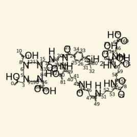 C=C(O)CN1CCN(CC(=C)O)CCN(CC(=O)NC(CNC(=O)c2ccc([SiH2]C(C)(C)C)cc2)C(=O)NC(CCCCNC(=O)CCC(=C)NCCCC(NC(=O)CC[C@H](NC(=C)N[C@@H](CCC(=O)O)C(=O)O)C(=O)O)C(C)=O)C(=C)O)CCN(CC(=O)O)CC1